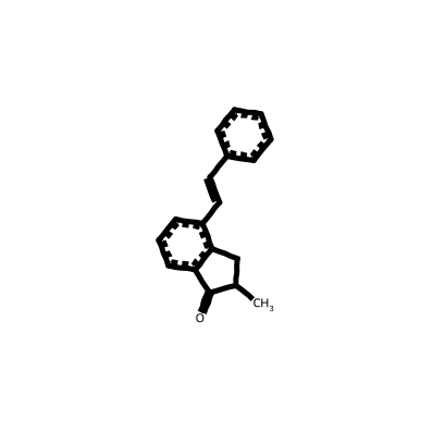 CC1Cc2c(C=Cc3ccccc3)cccc2C1=O